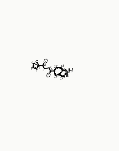 O=C(CCC(=O)c1cccs1)c1ccc2[nH]ncc2c1